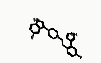 Fc1ccc(CCN2CCC(c3c[nH]c4ccc(F)cc34)CC2)c(-c2cc[nH]c2)c1